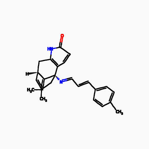 C/C=C1\[C@H]2C=C(C)C[C@]1(/N=C/C=C/c1ccc(C)cc1)c1ccc(=O)[nH]c1C2